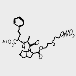 CCOC(=O)C(CCc1ccccc1)NC(C)C(=O)N1C(C(=O)OCCSCCO[N+](=O)[O-])CC2CCCC21